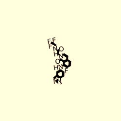 Cn1ncc2cc(Nc3c(F)ccc4ccn(CC(=O)NCC(F)(F)F)c(=O)c34)ccc21